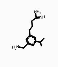 CC(C)c1cc(CN)cc(CCCC(=N)N)c1